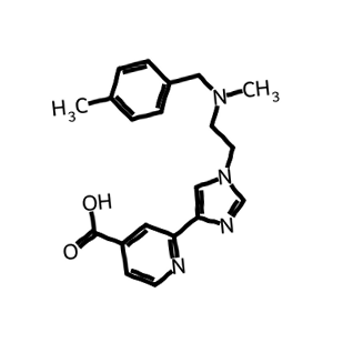 Cc1ccc(CN(C)CCn2cnc(-c3cc(C(=O)O)ccn3)c2)cc1